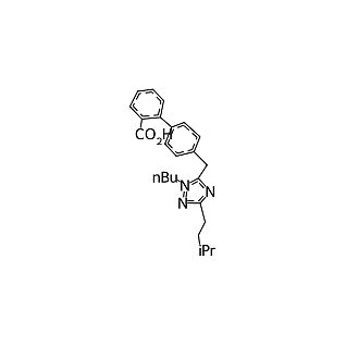 CCCCn1nc(CCC(C)C)nc1Cc1ccc(-c2ccccc2C(=O)O)cc1